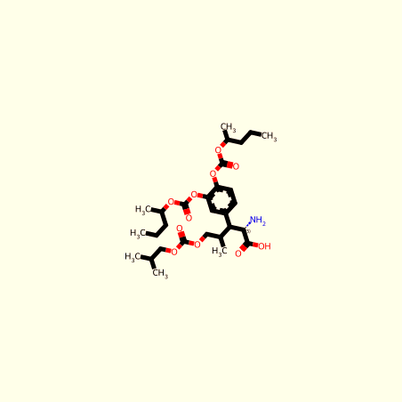 CCCC(C)OC(=O)Oc1ccc(C(C(C)COC(=O)OCC(C)C)[C@H](N)C(=O)O)cc1OC(=O)OC(C)CCC